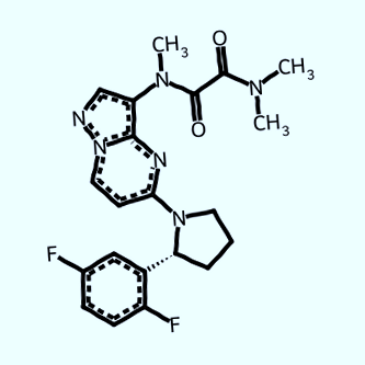 CN(C)C(=O)C(=O)N(C)c1cnn2ccc(N3CCC[C@@H]3c3cc(F)ccc3F)nc12